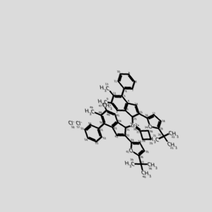 Cc1cc2c(c(-c3ccccc3)c1C)C=C(c1ccc(C(C)(C)C)o1)[CH]2[Zr+2](=[C]1CCC1)[CH]1C(c2ccc(C(C)(C)C)o2)=Cc2c1cc(C)c(C)c2-c1ccccc1.[Cl-].[Cl-]